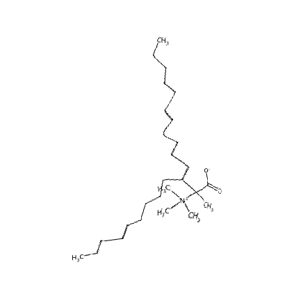 CCCCCCCCCCCC(CCCCCCCCC)C(C)(C(=O)[O-])[N+](C)(C)C